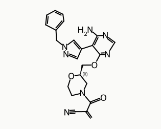 C=C(C#N)C(=O)N1CCO[C@@H](COc2ncnc(N)c2-c2cnn(Cc3ccccc3)c2)C1